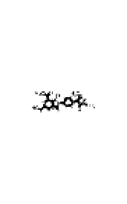 CCn1c2c(C(=O)OC)nc(CO)cc2c(=O)n1-c1ccc(-c2c(C)on(C)c2=O)cc1